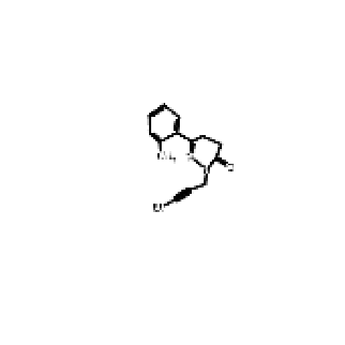 CCC#CCN1N=C(c2ccccc2C)CCC1=O